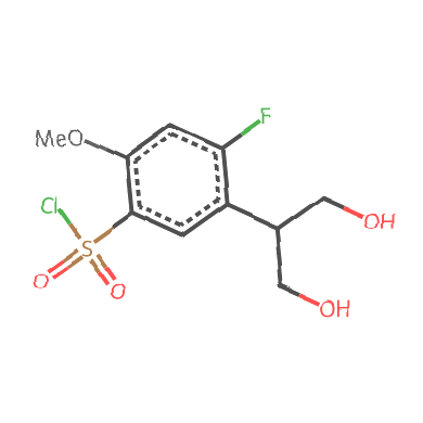 COc1cc(F)c(C(CO)CO)cc1S(=O)(=O)Cl